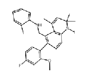 COc1cc(F)ccc1-c1ccc2c(c1CNc1ccccc1C)C(C)=CC(C)(C)N2I